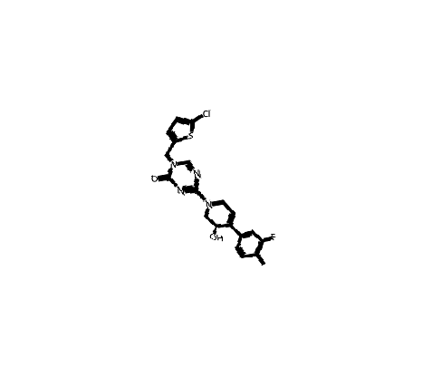 Cc1ccc(C2=CCN(c3ncn(Cc4ccc(Cl)s4)c(=O)n3)C[C@@H]2O)cc1F